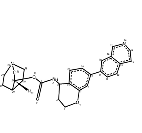 O=C(NC1CCOc2cc(-c3ccc4ccncc4c3)ccc21)O[C@H]1CN2CCC1CC2